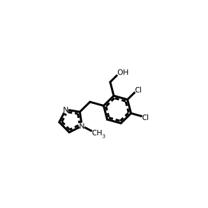 Cn1ccnc1Cc1ccc(Cl)c(Cl)c1CO